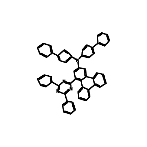 c1ccc(-c2ccc(N(c3ccc(-c4ccccc4)cc3)c3cc(-c4nc(-c5ccccc5)nc(-c5ccccc5)n4)c4c5ccccc5c5ccccc5c4c3)cc2)cc1